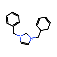 C1=CCC(CN2C=CN(Cc3ccccc3)C2)C=C1